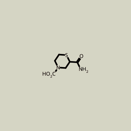 NC(=O)C1CN(C(=O)O)CCS1